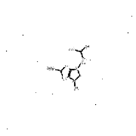 CC(O)C(=O)[O-].CC(O)C(=O)[O-].CCCCN1C=CN(C)C1.[Zn+2]